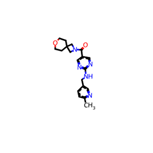 Cc1ccc(CNc2ncc(C(=O)N3CC4(CCOCC4)C3)cn2)cn1